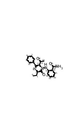 CCc1nc(-c2ccccc2)c(C(C)=O)n(Nc2ccccc2C(N)=O)c1=O